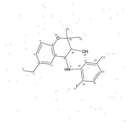 CCc1ccc2c(c1)C(Nc1cc(C)ccc1F)C(O)C(C)(C)O2